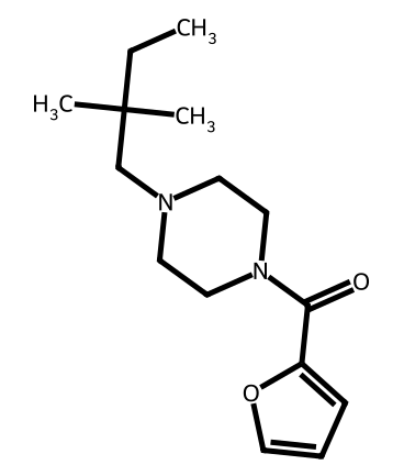 CCC(C)(C)CN1CCN(C(=O)c2ccco2)CC1